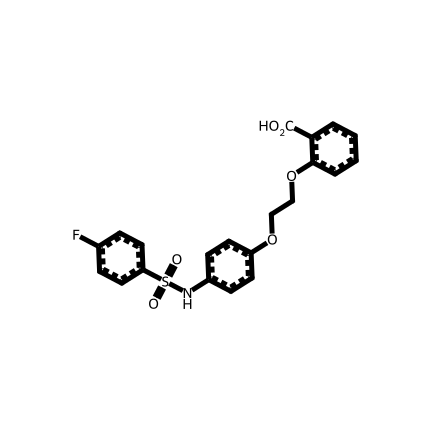 O=C(O)c1ccccc1OCCOc1ccc(NS(=O)(=O)c2ccc(F)cc2)cc1